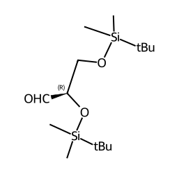 CC(C)(C)[Si](C)(C)OC[C@H](C=O)O[Si](C)(C)C(C)(C)C